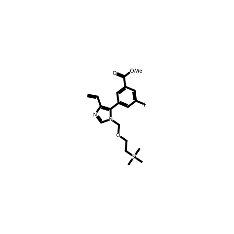 C=Cc1ncn(COCC[Si](C)(C)C)c1-c1cc(F)cc(C(=O)OC)c1